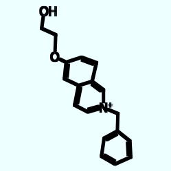 OCCOc1ccc2c[n+](Cc3ccccc3)ccc2c1